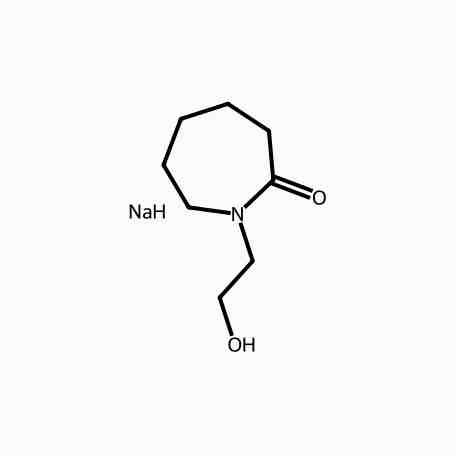 O=C1CCCCCN1CCO.[NaH]